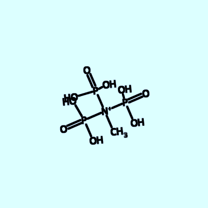 C[N+](P(=O)(O)O)(P(=O)(O)O)P(=O)(O)O